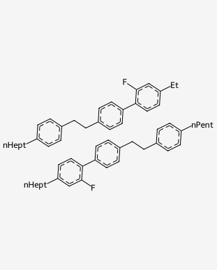 CCCCCCCc1ccc(-c2ccc(CCc3ccc(CCCCC)cc3)cc2)c(F)c1.CCCCCCCc1ccc(CCc2ccc(-c3ccc(CC)cc3F)cc2)cc1